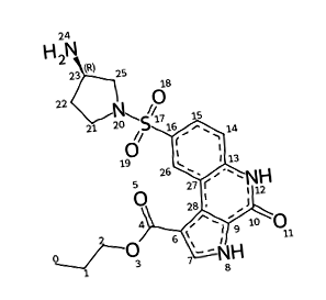 CCCOC(=O)c1c[nH]c2c(=O)[nH]c3ccc(S(=O)(=O)N4CC[C@@H](N)C4)cc3c12